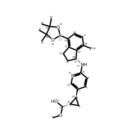 COC(O)[C@H]1C[C@@H]1c1ccc(N[C@@H]2CCc3c(B4OC(C)(C)C(C)(C)O4)ccc(F)c32)nc1